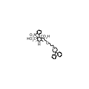 CC1N[C@H](C)C(C)(C(=O)O)C(c2ccccc2[N+](=O)[O-])C1(CCCOCCCN1CCC(c2ccccc2)(c2ccccc2)CC1)C(=O)O